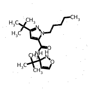 CCCCCn1nc(C(C)(C)C)cc1C(=O)NC1(C(C)(C)C)C=CON1